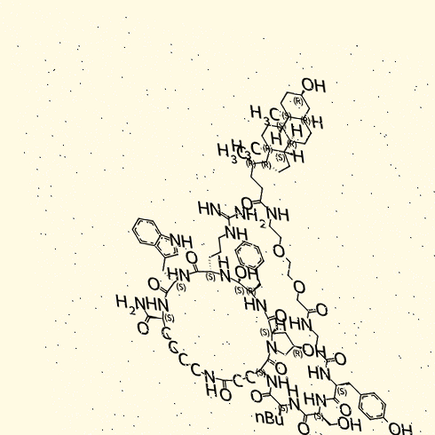 CCCC[C@H](NC(=O)[C@H](CO)NC(=O)[C@H](Cc1ccc(O)cc1)NC(=O)CCNC(=O)COCCOCCNC(=O)CC[C@@H](C)[C@H]1CC[C@H]2[C@@H]3CC[C@@H]4C[C@H](O)CC[C@]4(C)[C@H]3CC[C@]12C)C(=O)N[C@H]1CCC(=O)NCCCC[C@@H](C(N)=O)NC(=O)[C@H](Cc2c[nH]c3ccccc23)NC(=O)[C@H](CCCNC(=N)N)N[C@@H](O)[C@@H](Cc2ccccc2)NC(=O)[C@@H]2C[C@@H](O)CN2C1=O